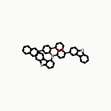 c1ccc(-c2ccc(-c3ccc4ccccc4c3)cc2N(c2ccc(-c3ccc4oc5ccccc5c4c3)cc2)c2cccc3sc4ccccc4c23)cc1